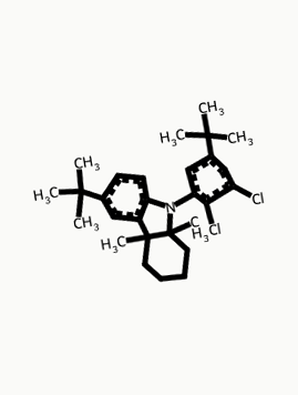 CC(C)(C)c1cc(Cl)c(Cl)c(N2c3ccc(C(C)(C)C)cc3C3(C)CCCCC23C)c1